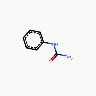 NC(=O)Nc1[c]cc[c]c1